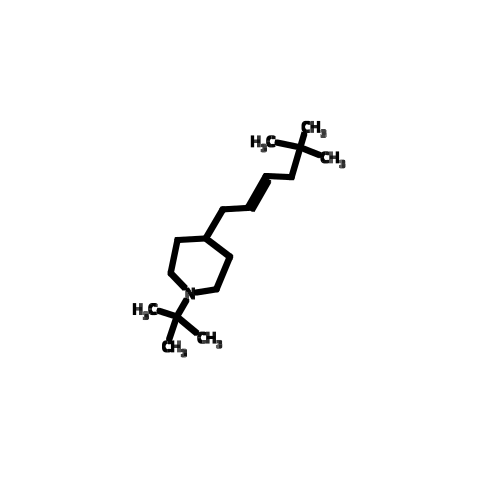 CC(C)(C)C/C=C/CC1CCN(C(C)(C)C)CC1